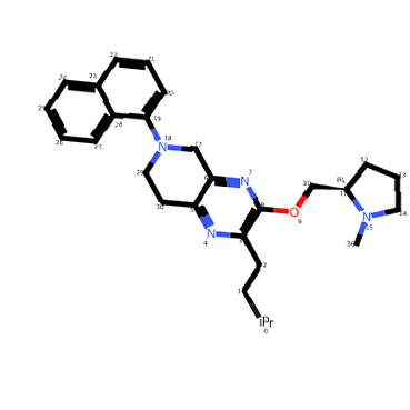 CC(C)CCc1nc2c(nc1OC[C@H]1CCCN1C)CN(c1cccc3ccccc13)CC2